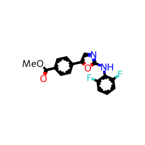 COC(=O)c1ccc(-c2cnc(Nc3c(F)cccc3F)o2)cc1